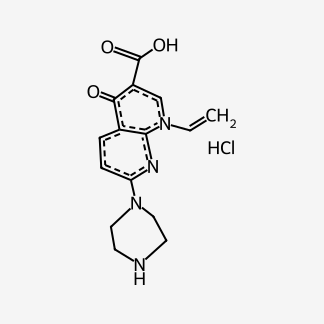 C=Cn1cc(C(=O)O)c(=O)c2ccc(N3CCNCC3)nc21.Cl